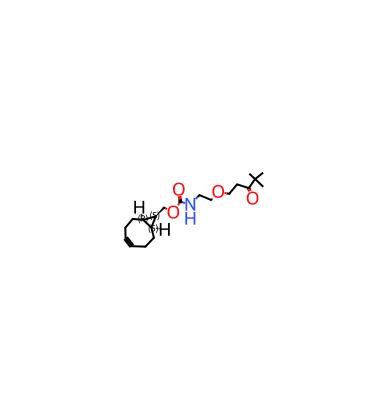 CC(C)(C)C(=O)CCOCCNC(=O)OC[C@@H]1[C@@H]2CCC#CCC[C@@H]21